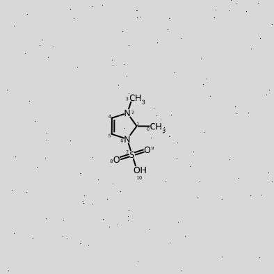 CC1N(C)C=CN1S(=O)(=O)O